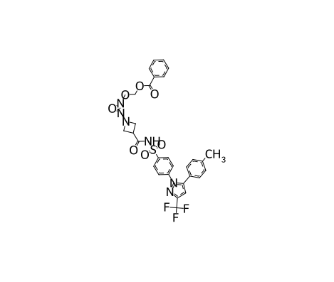 Cc1ccc(-c2cc(C(F)(F)F)nn2-c2ccc(S(=O)(=O)NC(=O)C3CN(n4on4OCOC(=O)c4ccccc4)C3)cc2)cc1